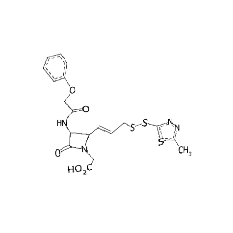 Cc1nnc(SSCC=CC2C(NC(=O)COc3ccccc3)C(=O)N2CC(=O)O)s1